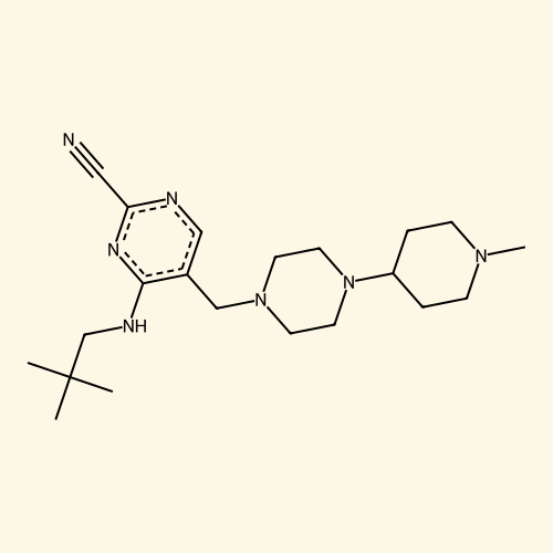 CN1CCC(N2CCN(Cc3cnc(C#N)nc3NCC(C)(C)C)CC2)CC1